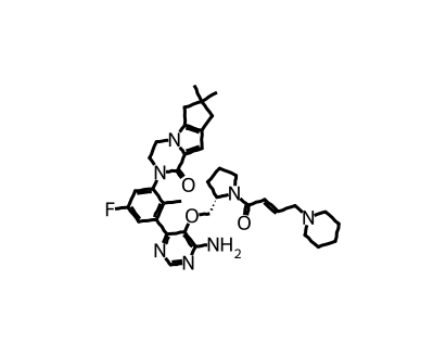 Cc1c(-c2ncnc(N)c2OC[C@@H]2CCCN2C(=O)/C=C/CN2CCCCC2)cc(F)cc1N1CCn2c(cc3c2CC(C)(C)C3)C1=O